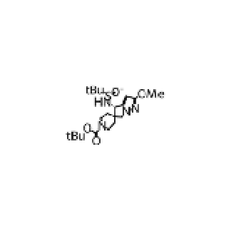 COc1cc2n(n1)CC1(CCN(C(=O)OC(C)(C)C)CC1)[C@@H]2N[S@+]([O-])C(C)(C)C